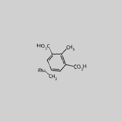 CCC(C)C.Cc1c(C(=O)O)cccc1C(=O)O